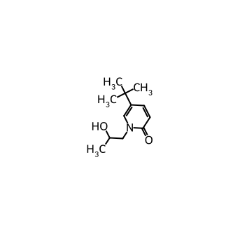 CC(O)Cn1cc(C(C)(C)C)ccc1=O